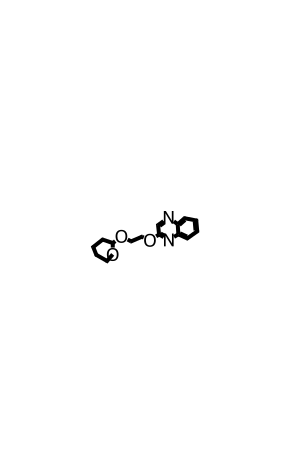 c1ccc2nc(OCCOC3CCCCO3)cnc2c1